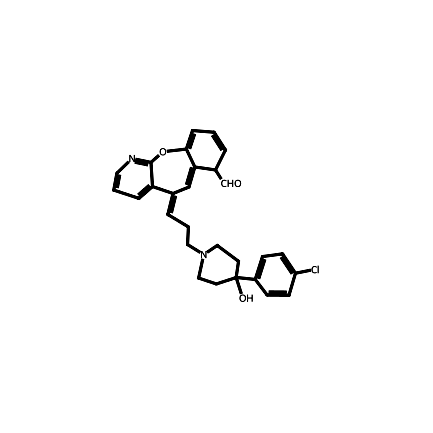 O=CC1C=CC=C2Oc3ncccc3C(=CCCN3CCC(O)(c4ccc(Cl)cc4)CC3)C=C21